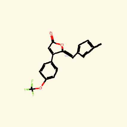 Cc1ccc(/C=C2\OC(=O)C=C2c2ccc(OC(F)(F)F)cc2)cc1